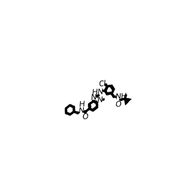 Cn1c(Nc2cc(CNC(=O)C3(C)CC3)ccc2Cl)nc2cc(C(=O)NCC3CCCCC3)ccc21